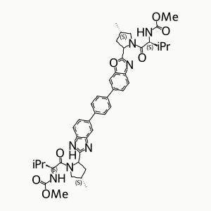 COC(=O)N[C@H](C(=O)N1C[C@@H](C)CC1c1nc2cc(-c3ccc(-c4ccc5nc(C6C[C@H](C)CN6C(=O)[C@@H](NC(=O)OC)C(C)C)oc5c4)cc3)ccc2[nH]1)C(C)C